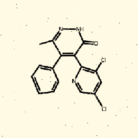 Cc1n[nH]c(=O)c(-c2ncc(Cl)cc2Cl)c1-c1ccccc1